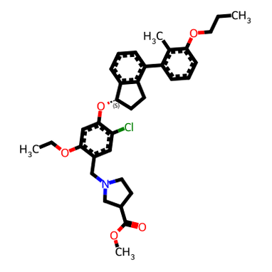 CCCOc1cccc(-c2cccc3c2CC[C@@H]3Oc2cc(OCC)c(CN3CCC(C(=O)OC)C3)cc2Cl)c1C